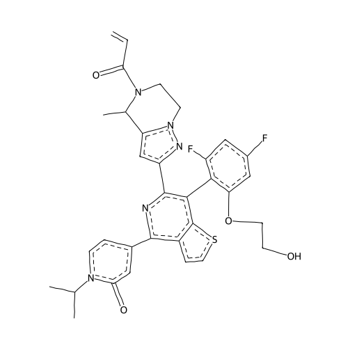 C=CC(=O)N1CCn2nc(-c3nc(-c4ccn(C(C)C)c(=O)c4)c4ccsc4c3-c3c(F)cc(F)cc3OCCO)cc2C1C